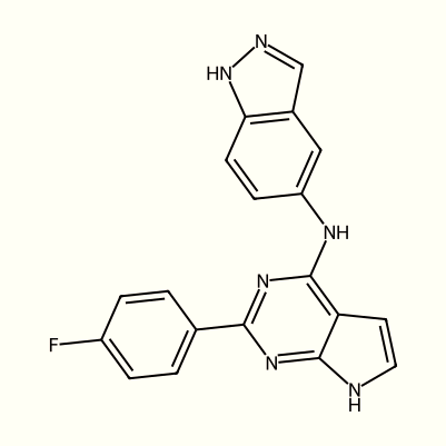 Fc1ccc(-c2nc(Nc3ccc4[nH]ncc4c3)c3cc[nH]c3n2)cc1